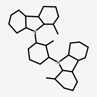 CC1CCCC2C3CCCCC3N(C3CCCC(N4C5CCCCC5C5CCCC(C)C54)C3C)C12